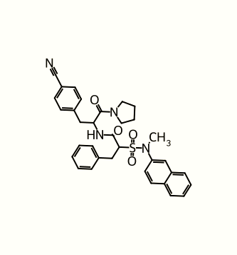 CN(c1ccc2ccccc2c1)S(=O)(=O)C(Cc1ccccc1)C(=O)NC(Cc1ccc(C#N)cc1)C(=O)N1CCCC1